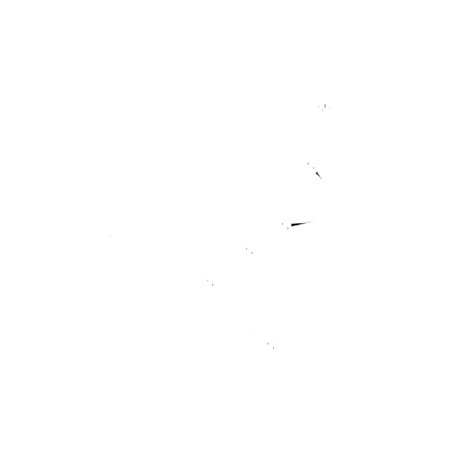 COC(=O)N[C@H]1CCCC[C@H]1Nc1nc(Nc2cccc(C)c2)c2c(c1I)CNC2=O